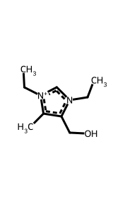 CCn1c[n+](CC)c(C)c1CO